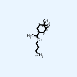 CCCCOC(C)C1CCC2(C)OC2C1